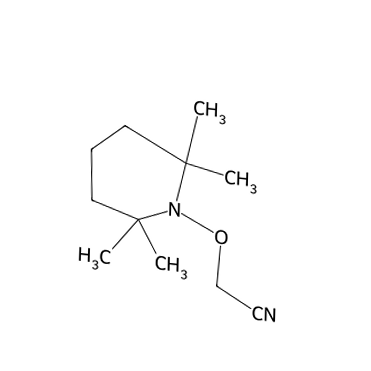 CC1(C)CCCC(C)(C)N1OCC#N